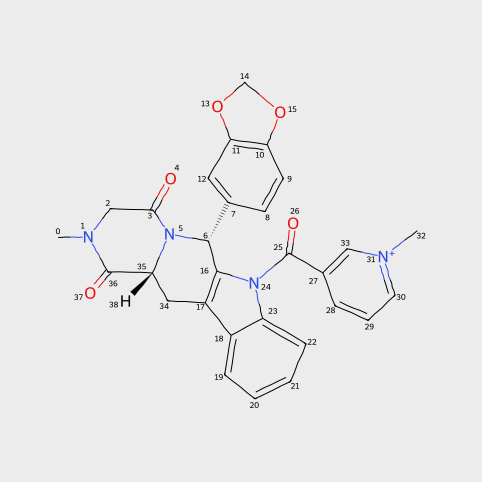 CN1CC(=O)N2[C@H](c3ccc4c(c3)OCO4)c3c(c4ccccc4n3C(=O)c3ccc[n+](C)c3)C[C@@H]2C1=O